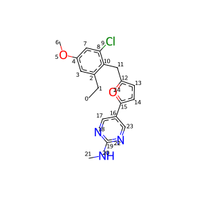 CCc1cc(OC)cc(Cl)c1Cc1ccc(-c2cnc(NC)nc2)o1